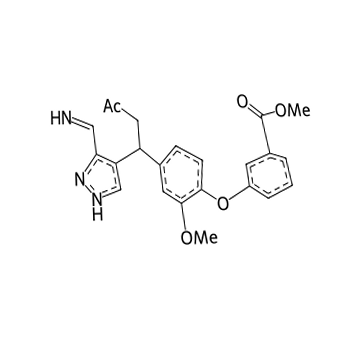 COC(=O)c1cccc(Oc2ccc(C(CC(C)=O)c3c[nH]nc3C=N)cc2OC)c1